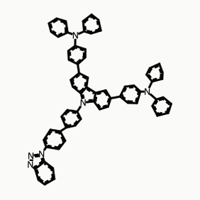 c1ccc(N(c2ccccc2)c2ccc(-c3ccc4c(c3)c3cc(-c5ccc(N(c6ccccc6)c6ccccc6)cc5)ccc3n4-c3ccc(-c4ccc(-n5nnc6ccccc65)cc4)cc3)cc2)cc1